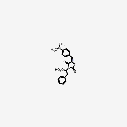 CN(C)c1ccc(/C=C2/SC(=S)N(C(Cc3ccccc3)C(=O)O)C2=O)cc1